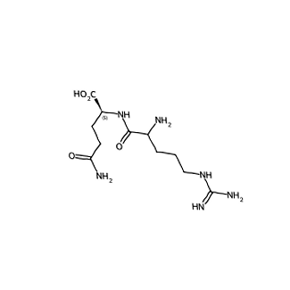 N=C(N)NCCCC(N)C(=O)N[C@@H](CCC(N)=O)C(=O)O